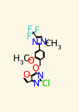 COc1cc(-c2nc(C(F)(F)F)cn2C)ccc1COc1nc(Cl)nc2ccoc12